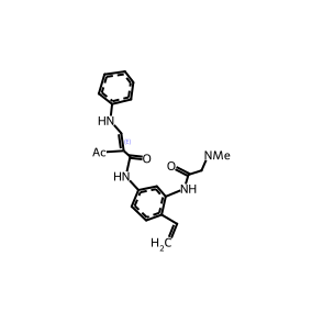 C=Cc1ccc(NC(=O)/C(=C/Nc2ccccc2)C(C)=O)cc1NC(=O)CNC